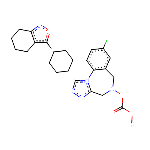 CC(C)(C)OC(=O)ON1Cc2cc(Cl)ccc2-n2c(nnc2[C@H]2CC[C@H](c3onc4c3CCCC4)CC2)C1